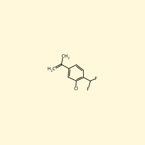 C=C(C)c1ccc(C(F)F)c(Cl)c1